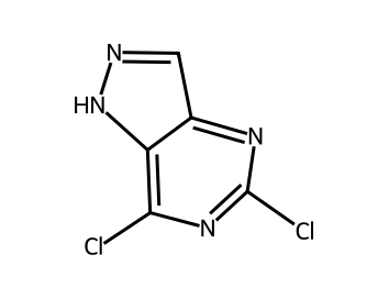 Clc1nc(Cl)c2[nH]ncc2n1